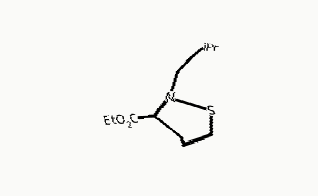 CCOC(=O)C1CCSN1CC(C)C